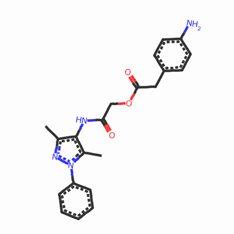 Cc1nn(-c2ccccc2)c(C)c1NC(=O)COC(=O)Cc1ccc(N)cc1